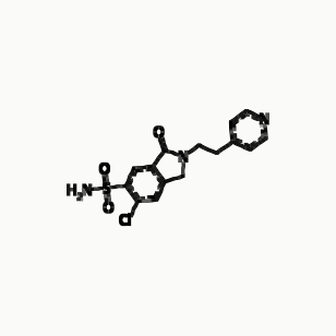 NS(=O)(=O)c1cc2c(cc1Cl)CN(CCc1ccncc1)C2=O